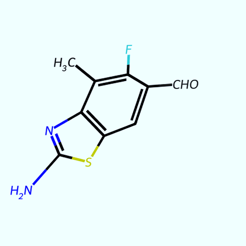 Cc1c(F)c(C=O)cc2sc(N)nc12